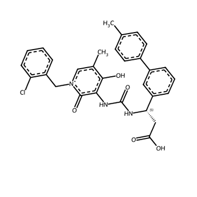 Cc1ccc(-c2cccc([C@H](CC(=O)O)NC(=O)Nc3c(O)c(C)cn(Cc4ccccc4Cl)c3=O)c2)cc1